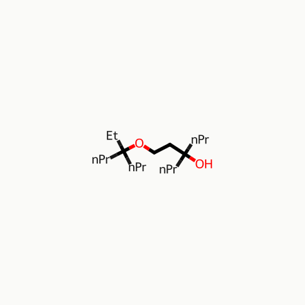 CCCC(O)(CCC)CCOC(CC)(CCC)CCC